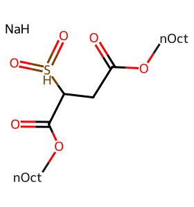 CCCCCCCCOC(=O)CC(C(=O)OCCCCCCCC)[SH](=O)=O.[NaH]